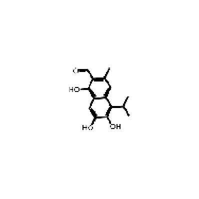 Cc1cc2c(C(C)C)c(O)c(O)cc2c(O)c1C=O